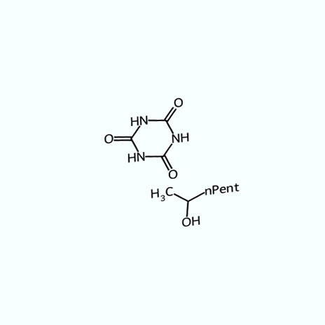 CCCCCC(C)O.O=c1[nH]c(=O)[nH]c(=O)[nH]1